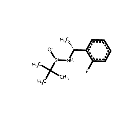 C[C@@H](N[S+]([O-])C(C)(C)C)c1ccccc1F